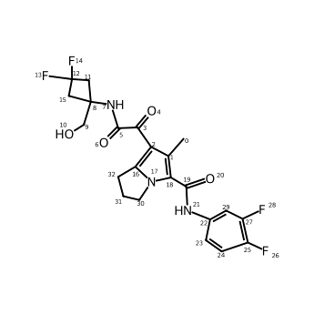 Cc1c(C(=O)C(=O)NC2(CO)CC(F)(F)C2)c2n(c1C(=O)Nc1ccc(F)c(F)c1)CCC2